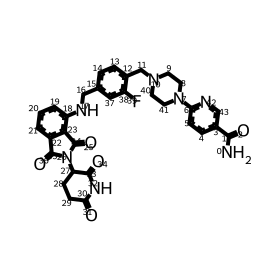 NC(=O)c1ccc(N2CCN(Cc3ccc(CNc4cccc5c4C(=O)N(C4CCC(=O)NC4=O)C5=O)cc3F)CC2)nc1